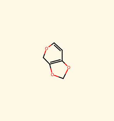 C1=CC2=C(CO1)OCO2